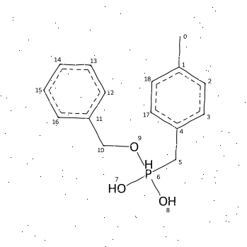 Cc1ccc(C[PH](O)(O)OCc2ccccc2)cc1